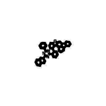 c1ccc(-c2nc(-c3ccc4ccccc4c3)nc(-c3ccccc3-c3cccc4oc5cc6c7c(cccc7c5c34)-c3ccccc3-6)n2)cc1